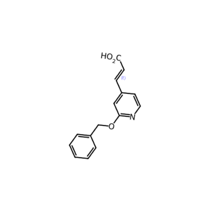 O=C(O)/C=C/c1ccnc(OCc2ccccc2)c1